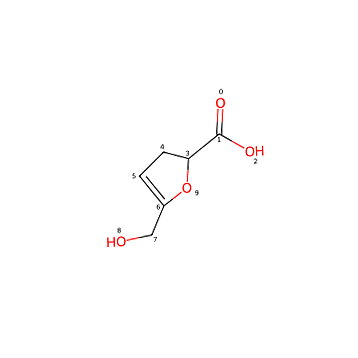 O=C(O)C1CC=C(CO)O1